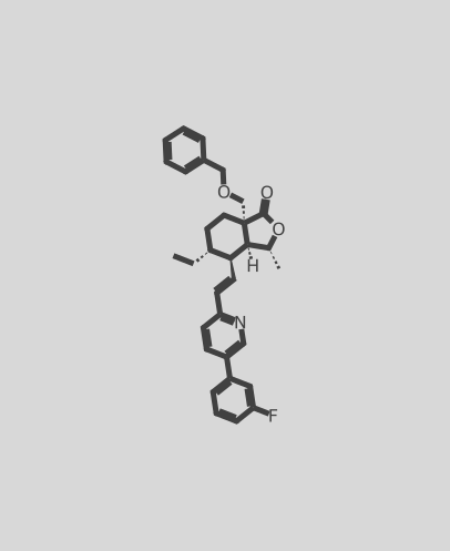 CC[C@@H]1CC[C@@]2(COCc3ccccc3)C(=O)O[C@H](C)[C@H]2[C@H]1/C=C/c1ccc(-c2cccc(F)c2)cn1